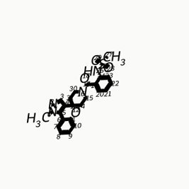 Cn1ncc2c1-c1ccccc1OC21CCN(C(=O)c2ccccc2NS(C)(=O)=O)CC1